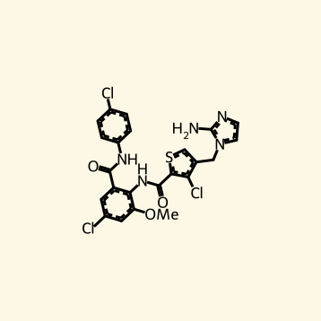 COc1cc(Cl)cc(C(=O)Nc2ccc(Cl)cc2)c1NC(=O)c1scc(Cn2ccnc2N)c1Cl